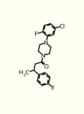 CC(CC(=O)N1CCN(c2cc(Cl)ccc2F)CC1)c1ccc(F)cc1